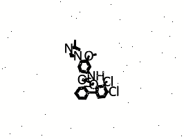 COc1cc(NS(=O)(=O)c2ccccc2-c2ccc(Cl)c(Cl)c2)ccc1-n1cnc(C)c1